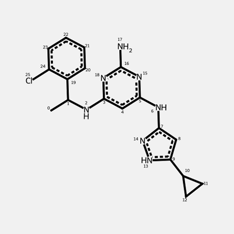 CC(Nc1cc(Nc2cc(C3CC3)[nH]n2)nc(N)n1)c1ccccc1Cl